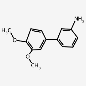 COc1ccc(-c2cccc(N)c2)cc1OC